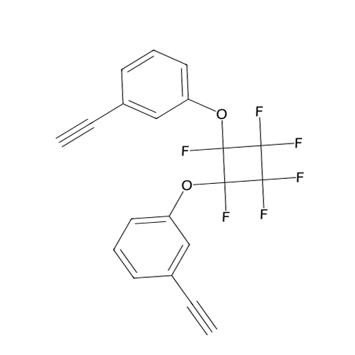 C#Cc1cccc(OC2(F)C(F)(F)C(F)(F)C2(F)Oc2cccc(C#C)c2)c1